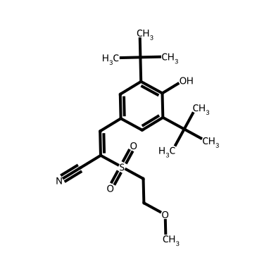 COCCS(=O)(=O)/C(C#N)=C\c1cc(C(C)(C)C)c(O)c(C(C)(C)C)c1